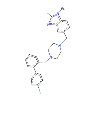 CCn1c(C)nc2cc(CN3CCN(Cc4ccccc4-c4ccc(F)cc4)CC3)ccc21